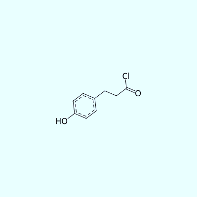 O=C(Cl)CCc1ccc(O)cc1